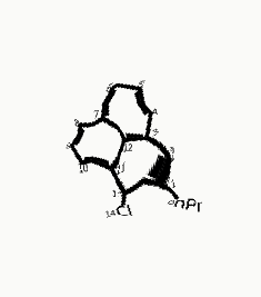 CCCC1=Cc2cccc3cccc(c23)C1Cl